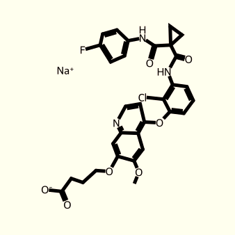 COc1cc2c(Oc3cccc(NC(=O)C4(C(=O)Nc5ccc(F)cc5)CC4)c3Cl)ccnc2cc1OCCCC(=O)[O-].[Na+]